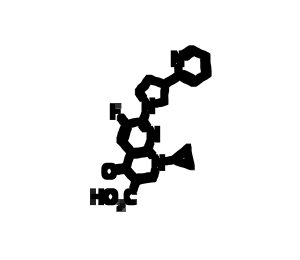 O=C(O)c1cn(C2CC2)c2nc(N3CCC(c4ccccn4)C3)c(F)cc2c1=O